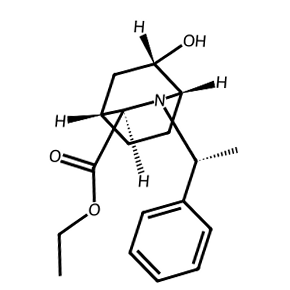 CCOC(=O)[C@H]1[C@@H]2CC[C@@H]([C@@H](O)C2)N1[C@H](C)c1ccccc1